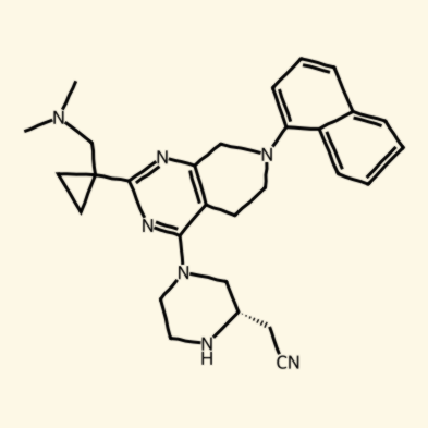 CN(C)CC1(c2nc3c(c(N4CCN[C@@H](CC#N)C4)n2)CCN(c2cccc4ccccc24)C3)CC1